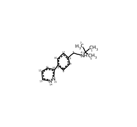 CC(C)(C)NCc1ccc(-c2cccnn2)cc1